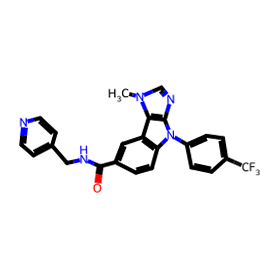 Cn1cnc2c1c1cc(C(=O)NCc3ccncc3)ccc1n2-c1ccc(C(F)(F)F)cc1